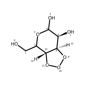 OCC1OC(O)[C@@H](O)[C@H]2OOO[C@H]12